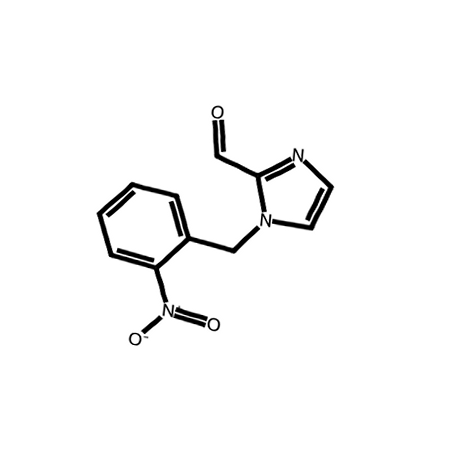 O=Cc1nccn1Cc1ccccc1[N+](=O)[O-]